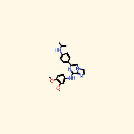 C=C(C)Nc1ccc(-c2cn3ccnc3c(Nc3ccc(OC)c(OC)c3)n2)cc1